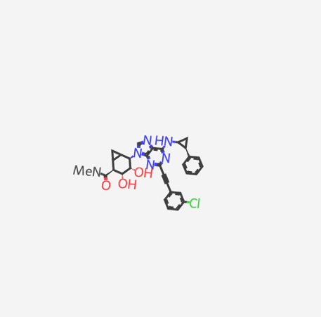 CNC(=O)[C@H]1C2CC2[C@@H](n2cnc3c(NC4C[C@H]4c4ccccc4)nc(C#Cc4cccc(Cl)c4)nc32)[C@H](O)[C@@H]1O